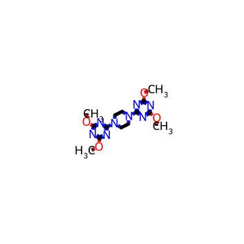 COc1nc(OC)nc(N2CCN(c3nc(OC)nc(OC)n3)CC2)n1